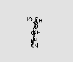 N#Cc1ccc2ccn(Cc3cn(CCCCC(=O)NCCOCCOCCOCCNC(=O)O)cn3)c2c1